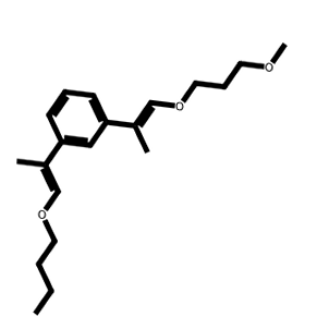 CCCCOC=C(C)c1cccc(C(C)=COCCCOC)c1